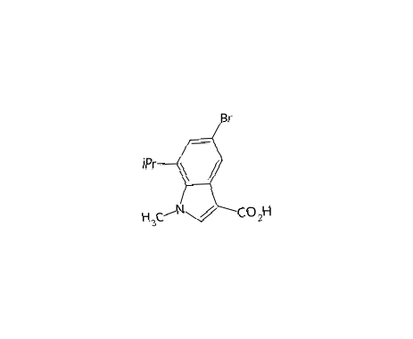 CC(C)c1cc(Br)cc2c(C(=O)O)cn(C)c12